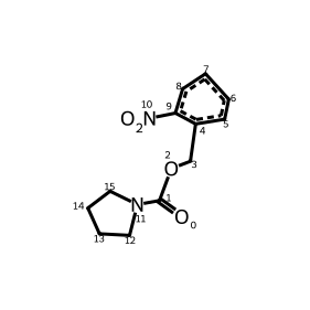 O=C(OCc1ccccc1[N+](=O)[O-])N1CCCC1